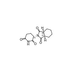 O=C1CC[C@H](N2C(=O)[C@H]3CCCC[C@H]3C2=O)C(=O)N1